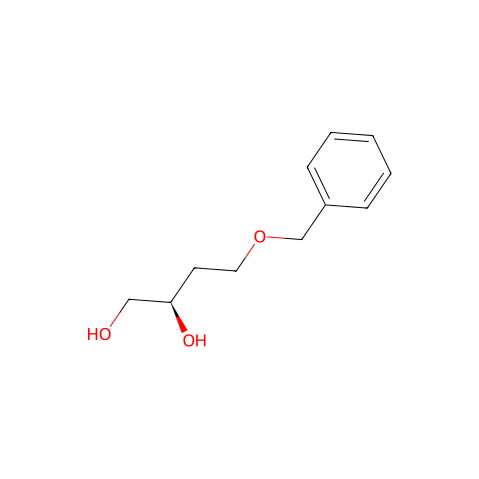 OC[C@H](O)CCOCc1ccccc1